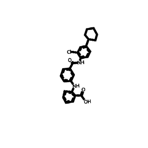 O=C(Nc1ccc(C2CCCCC2)cc1Cl)c1cccc(Nc2ccccc2C(=O)O)c1